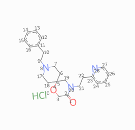 Cl.O=C1COC2(CCN(CCc3ccccc3)CC2)CN1CCc1ccccn1